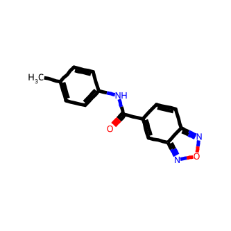 Cc1ccc(NC(=O)c2ccc3nonc3c2)cc1